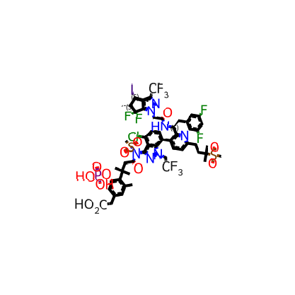 Cc1cc(CC(=O)O)cc(OP(=O)(O)O)c1C(C)(C)CC(=O)N(c1nn(CC(F)(F)F)c2c(-c3ccc(CCC(C)(C)S(C)(=O)=O)nc3[C@H](Cc3cc(F)cc(F)c3)NC(=O)Cn3nc(C(F)(F)F)c4c3C(F)(F)[C@H](C)[C@@H]4I)ccc(Cl)c12)S(C)(=O)=O